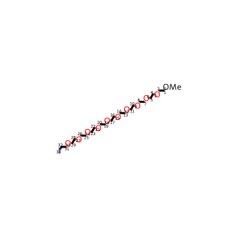 COCCOCCOCCOCCOCCOCCOCCOCCOCCOCCOCCI